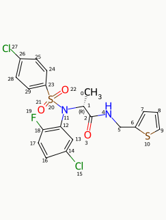 C[C@H](C(=O)NCc1cccs1)N(c1cc(Cl)ccc1F)S(=O)(=O)c1ccc(Cl)cc1